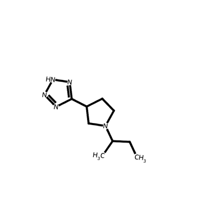 CCC(C)N1CCC(c2nn[nH]n2)C1